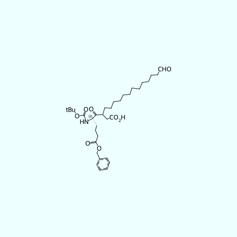 CC(C)(C)OC(=O)N[C@@H](CCCC(=O)OCc1ccccc1)C(=O)C(CCCCCCCCCCCCC=O)CC(=O)O